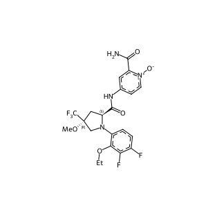 CCOc1c(N2C[C@@](OC)(C(F)(F)F)C[C@H]2C(=O)Nc2cc[n+]([O-])c(C(N)=O)c2)ccc(F)c1F